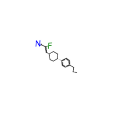 CCCc1ccc([C@H]2CC[C@H](C=C(F)C#N)CC2)cc1